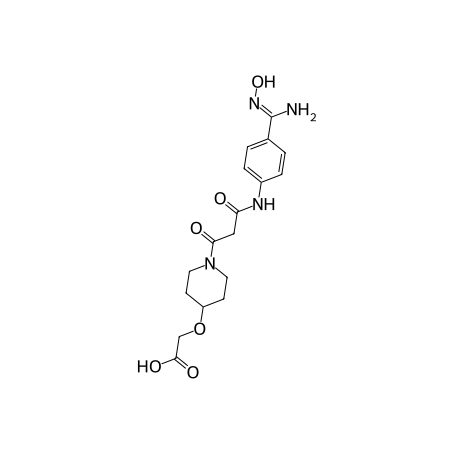 N/C(=N\O)c1ccc(NC(=O)CC(=O)N2CCC(OCC(=O)O)CC2)cc1